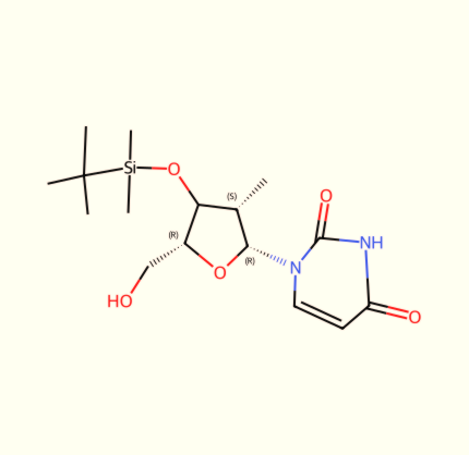 C[C@H]1C(O[Si](C)(C)C(C)(C)C)[C@@H](CO)O[C@H]1n1ccc(=O)[nH]c1=O